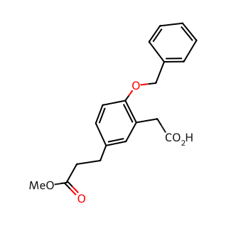 COC(=O)CCc1ccc(OCc2ccccc2)c(CC(=O)O)c1